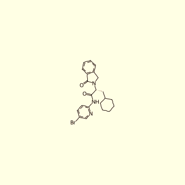 O=C(Nc1ccc(Br)cn1)[C@@H](CC1CCCCC1)N1Cc2ccccc2C1=O